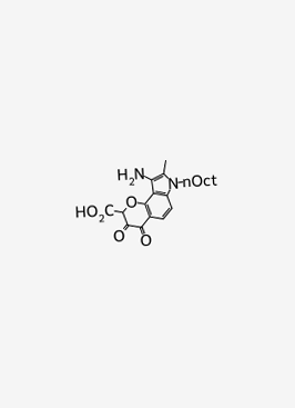 CCCCCCCCn1c(C)c(N)c2c3c(ccc21)C(=O)C(=O)C(C(=O)O)O3